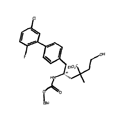 CCOC(=O)C(C)(CCO)C[C@@H](Cc1ccc(-c2cc(Cl)ccc2F)cc1)NC(=O)OC(C)(C)C